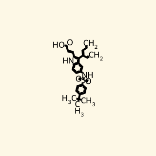 C=C/C=C(\C=C)c1c(/C=C/C(=O)O)[nH]c2ccc(NS(=O)(=O)c3ccc(C(C)(C)C)cc3)cc12